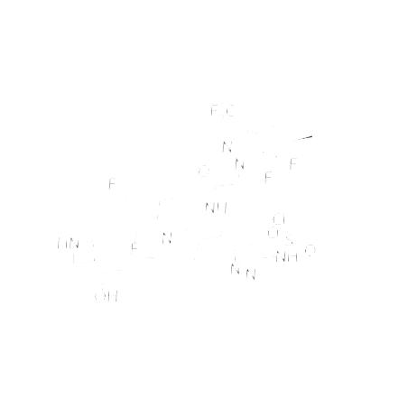 C[C@@H]1Cc2c(C(F)(F)F)nn(CC(=O)N[C@@H](Cc3cc(F)cc(F)c3)c3nc(C#CC(O)C4CNC4)ccc3-c3ccc(Cl)c4c(NS(C)(=O)=O)nn(C)c34)c2C1(F)F